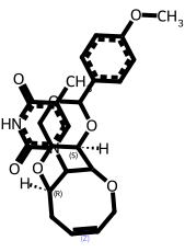 COc1ccc(C2OCC3O[C@@H]4C/C=C\COC(C4n4cc(C)c(=O)[nH]c4=O)[C@@H]3O2)cc1